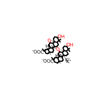 CC1(C)C2CC[C@]3(C)C(C(=O)C=C4[C@H]5C[C@@](C)(C(=O)[O-])CC[C@]5(C)CC[C@]43C)[C@@]2(C)CC[C@@H]1O.CC1(C)C2CC[C@]3(C)C(C(=O)C=C4[C@H]5C[C@@](C)(C(=O)[O-])CC[C@]5(C)CC[C@]43C)[C@@]2(C)CC[C@@H]1O.[K+].[K+]